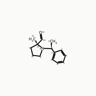 C[C@@H](c1ccccc1)N1CCC[C@]1(C)C=O